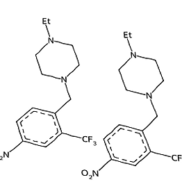 CCN1CCN(Cc2ccc(N)cc2C(F)(F)F)CC1.CCN1CCN(Cc2ccc([N+](=O)[O-])cc2C(F)(F)F)CC1